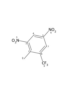 [CH2]c1c([N+](=O)[O-])cc([N+](=O)[O-])cc1C(F)(F)F